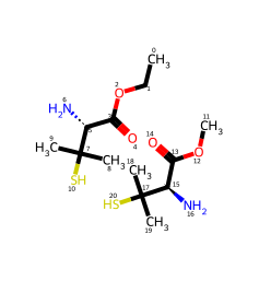 CCOC(=O)[C@@H](N)C(C)(C)S.COC(=O)[C@@H](N)C(C)(C)S